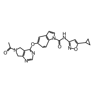 CC(=O)N1Cc2ncnc(Oc3ccc4c(ccn4C(=O)Nc4cc(C5CC5)on4)c3)c2C1